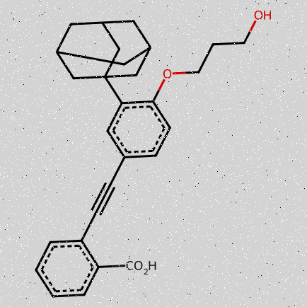 O=C(O)c1ccccc1C#Cc1ccc(OCCCO)c(C23CC4CC(CC(C4)C2)C3)c1